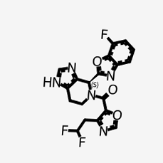 O=C(c1ocnc1CC(F)F)N1CCc2[nH]cnc2[C@H]1c1nc2cccc(F)c2o1